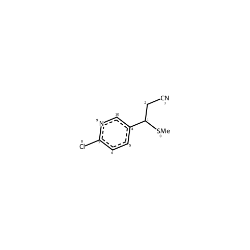 CSC(CC#N)c1ccc(Cl)nc1